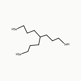 [SeH]CCC[C](CCC[SeH])CCC[SeH]